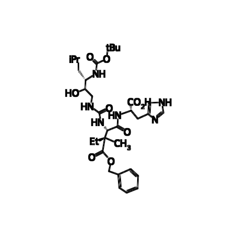 CC[C@@](C)(C(=O)OCc1ccccc1)[C@H](NC(=O)NCC(O)[C@H](CC(C)C)NC(=O)OC(C)(C)C)C(=O)N[C@@H](Cc1c[nH]cn1)C(=O)O